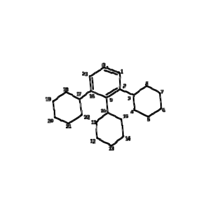 [c]1cc(C2CCCCC2)c(C2CCCCC2)c(C2CCCCC2)c1